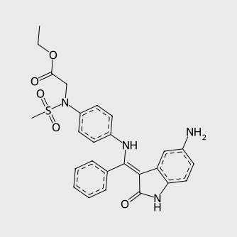 CCOC(=O)CN(c1ccc(NC(=C2C(=O)Nc3ccc(N)cc32)c2ccccc2)cc1)S(C)(=O)=O